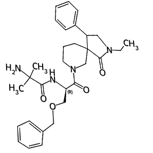 CCN1CC(c2ccccc2)C2(CCCN(C(=O)[C@@H](COCc3ccccc3)NC(=O)C(C)(C)N)C2)C1=O